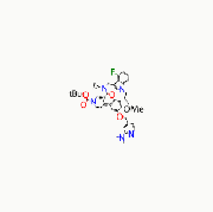 COCCCn1cc(CN(C(=O)[C@H]2CN(C(=O)OC(C)(C)C)CC[C@@H]2c2cccc(OCc3ccnc(N(C)C)c3)c2)C2CC2)c2c(F)cccc21